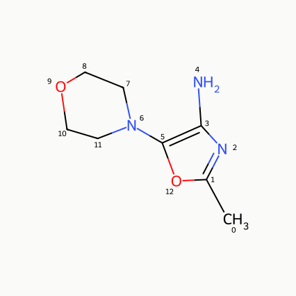 Cc1nc(N)c(N2CCOCC2)o1